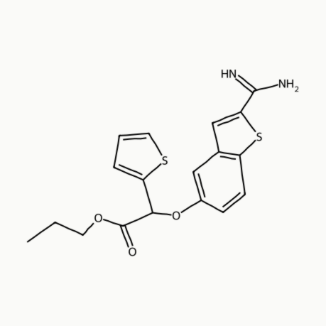 CCCOC(=O)C(Oc1ccc2sc(C(=N)N)cc2c1)c1cccs1